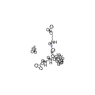 COC(=O)[C@H]1O[C@@H](Oc2ccc(C[n+]3cccc(/C=C/C(=O)NCCCCC4CCN(C(=O)c5ccccc5)CC4)c3)cc2NC(=O)CCNC(=O)OCC2c3ccccc3-c3ccccc32)[C@H](OC(C)=O)[C@@H](OC(C)=O)[C@@H]1OC(C)=O.O=C([O-])C(F)(F)F